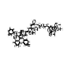 CC(C)c1c(C(=O)Nc2ccccc2)c(-c2ccccc2)c(-c2ccc(F)cc2)n1CCC(O)CC(O)CC(=O)OCCOCCC(CON(O)O)ON(O)O